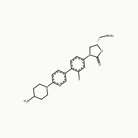 CC(=O)NC[C@H]1CN(c2ccc(-c3ccc(N4CCC(N)CC4)nc3)c(F)c2)C(=O)O1